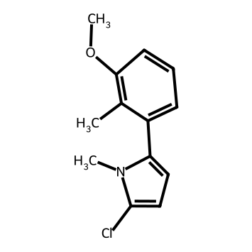 COc1cccc(-c2ccc(Cl)n2C)c1C